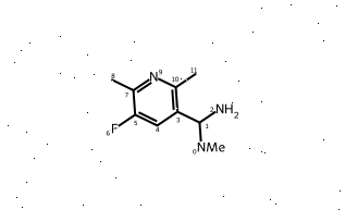 CNC(N)c1cc(F)c(C)nc1C